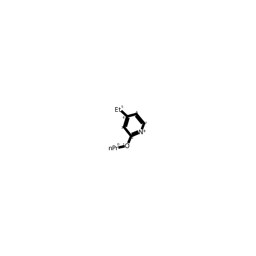 CCCOc1cc(CC)ccn1